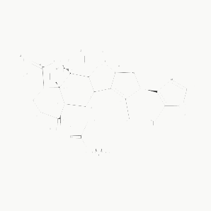 COC(=O)C[C@H]1[C@]2(C)C3=C(C)[C@H](c4ccoc4C(C)C)CC3O[C@@H]2[C@@H]2OC(=O)[C@]3(C)CCC(=O)[C@@]1(C)[C@@H]23